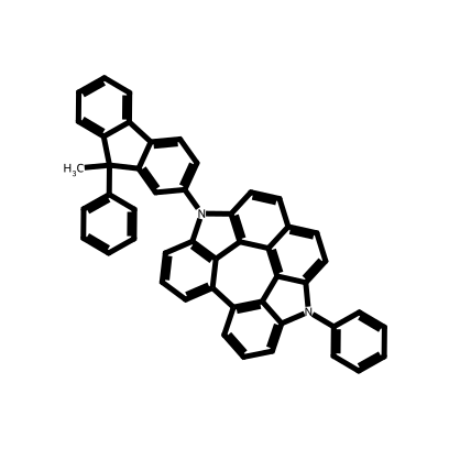 CC1(c2ccccc2)c2ccccc2-c2ccc(-n3c4cccc5c4c4c6c(ccc7c6c6c-5cccc6n7-c5ccccc5)ccc43)cc21